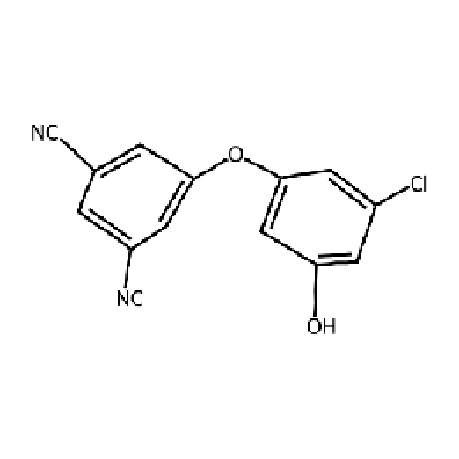 [C-]#[N+]c1cc(C#N)cc(Oc2cc(O)cc(Cl)c2)c1